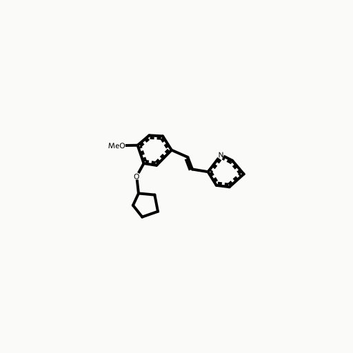 COc1ccc(/C=C/c2ccccn2)cc1OC1CCCC1